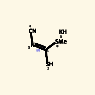 CS/C(S)=N\C#N.[KH]